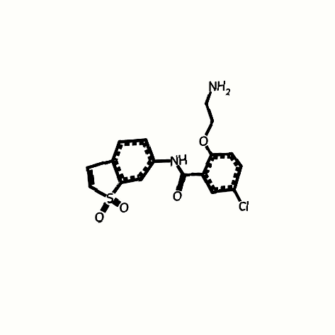 NCCOc1ccc(Cl)cc1C(=O)Nc1ccc2c(c1)S(=O)(=O)C=C2